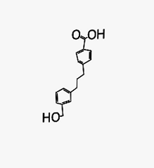 O=C(O)c1ccc(CCCc2cccc(CO)c2)cc1